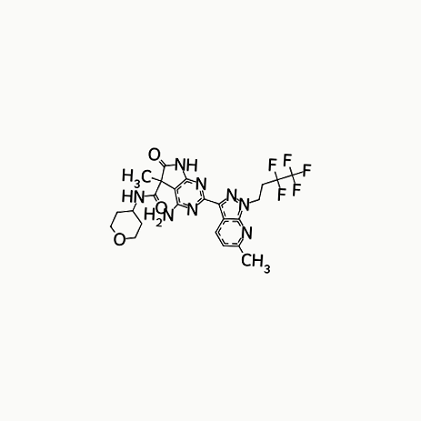 Cc1ccc2c(-c3nc(N)c4c(n3)NC(=O)C4(C)C(=O)NC3CCOCC3)nn(CCC(F)(F)C(F)(F)F)c2n1